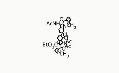 CCOC(=O)n1c(C(=O)c2cccn2C)c(N(C(C)=O)C(C)=O)c2c(Cl)c(C3(Cl)C=CC4=C(NC(C)=O)C(C(=O)c5cccn5C)=NC4=C3)ccc21